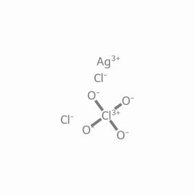 [Ag+3].[Cl-].[Cl-].[O-][Cl+3]([O-])([O-])[O-]